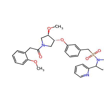 COc1ccccc1CC(=O)N1C[C@@H](OC)[C@H](Oc2cccc(CS(=O)(=O)N3CCCC3c3ccccn3)c2)C1